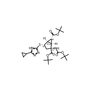 CC(C)(C)OC(=O)N[C@@]1(C(=O)OC(C)(C)C)C[C@H](Sc2nnc(C3CC3)[nH]2)[C@H]2[C@H](C(=O)OC(C)(C)C)[C@H]21